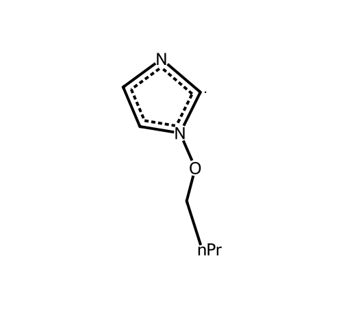 CCCCOn1[c]ncc1